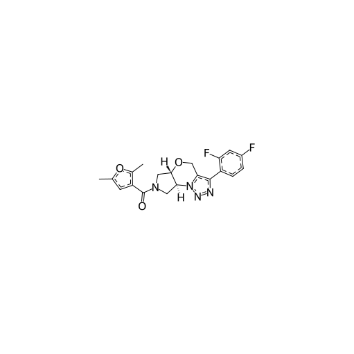 Cc1cc(C(=O)N2C[C@@H]3OCc4c(-c5ccc(F)cc5F)nnn4[C@H]3C2)c(C)o1